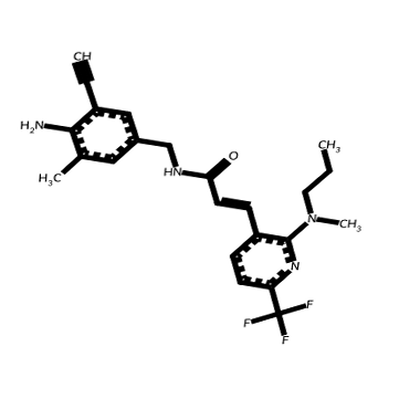 C#Cc1cc(CNC(=O)/C=C/c2ccc(C(F)(F)F)nc2N(C)CCC)cc(C)c1N